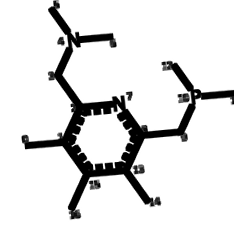 Cc1c(CN(C)C)nc(CP(C)C)c(C)c1C